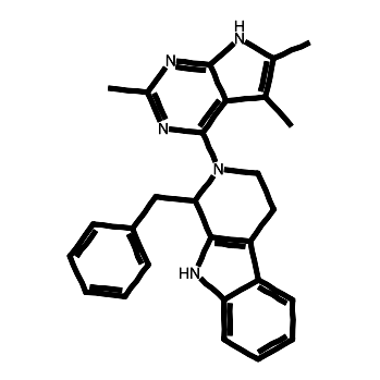 Cc1nc(N2CCc3c([nH]c4ccccc34)C2Cc2ccccc2)c2c(C)c(C)[nH]c2n1